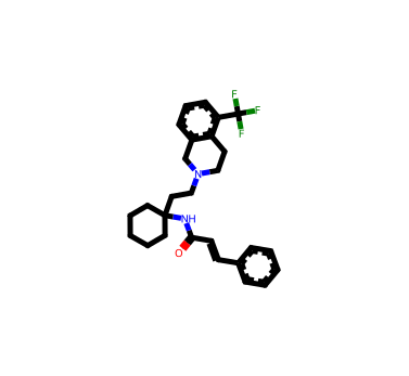 O=C(C=Cc1ccccc1)NC1(CCN2CCc3c(cccc3C(F)(F)F)C2)CCCCC1